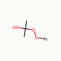 CC(=O)OOC(C)(C)O